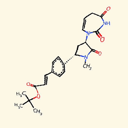 CN1C(=O)[C@H](N2C=CCC(=O)NC2=O)C[C@H]1c1ccc(/C=C/C(=O)OC(C)(C)C)cc1